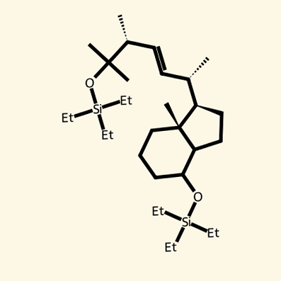 CC[Si](CC)(CC)OC1CCC[C@@]2(C)C1CC[C@@H]2[C@@H](C)/C=C/[C@@H](C)C(C)(C)O[Si](CC)(CC)CC